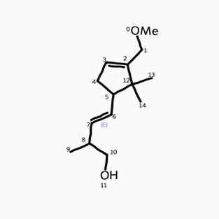 COCC1=CCC(/C=C/C(C)CO)C1(C)C